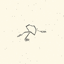 CCCC[N+]1(CCCC)CCC[C@H](O)C1